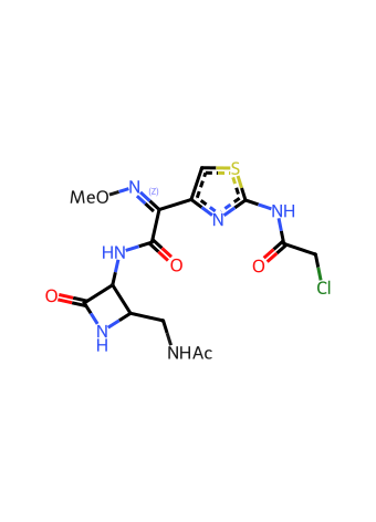 CO/N=C(\C(=O)NC1C(=O)NC1CNC(C)=O)c1csc(NC(=O)CCl)n1